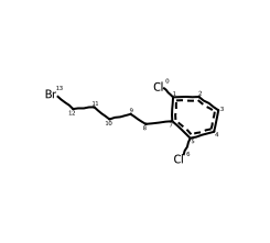 Clc1cccc(Cl)c1CCCCCBr